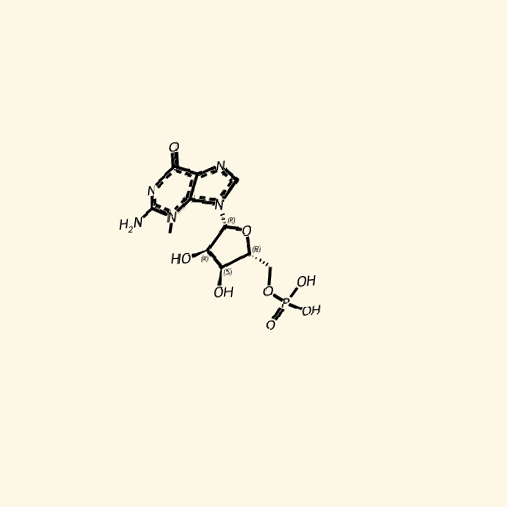 Cn1c(N)nc(=O)c2ncn([C@@H]3O[C@H](COP(=O)(O)O)[C@@H](O)[C@H]3O)c21